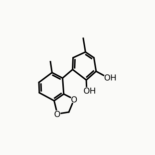 Cc1cc(O)c(O)c(-c2c(C)ccc3c2OCO3)c1